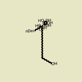 CCCCCCCCCCCCCC=CC(O)C(COC1O[C@H](CO)[C@@H](O)[C@H](O)[C@H]1O)NC(=O)CCCCCCCCCCCCCCCCCCCCC/C=C\CCCCCCCCO